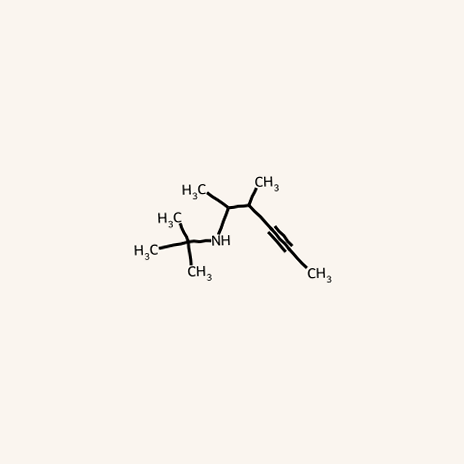 CC#CC(C)C(C)NC(C)(C)C